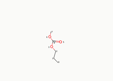 CCCOC(=O)OC